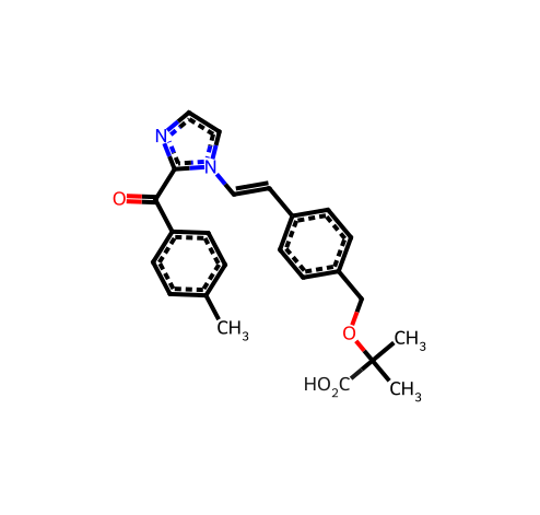 Cc1ccc(C(=O)c2nccn2/C=C/c2ccc(COC(C)(C)C(=O)O)cc2)cc1